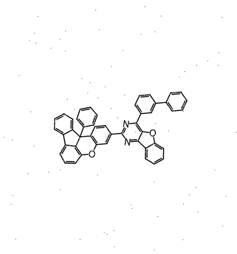 c1ccc(-c2cccc(-c3nc(-c4ccc5c(c4)Oc4cccc6c4C5(c4ccccc4)c4ccccc4-6)nc4c3oc3ccccc34)c2)cc1